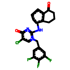 O=C1CCCc2c(Nc3nc(=O)c(Cl)cn3Cc3cc(F)c(F)c(F)c3)cccc21